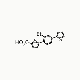 CCc1cc(-c2cccs2)ccc1-c1ccc(C(=O)O)s1